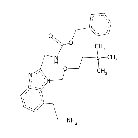 C[Si](C)(C)CCOCn1c(CNC(=O)OCc2ccccc2)nc2cccc(CCN)c21